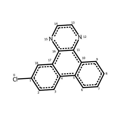 Clc1ccc2c3ccccc3c3nccnc3c2c1